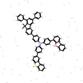 CC1(C)c2ccc(-c3ccc(N(c4ccc(-c5ccc6sc7ccccc7c6c5)cc4)c4ccc(-c5cccc6c5oc5ccccc56)cc4)cc3)cc2-c2cc(-c3ccccc3)cc(-c3ccccc3)c21